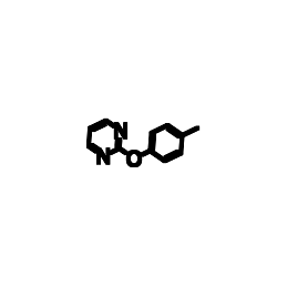 Cc1ccc(Oc2ncccn2)cc1